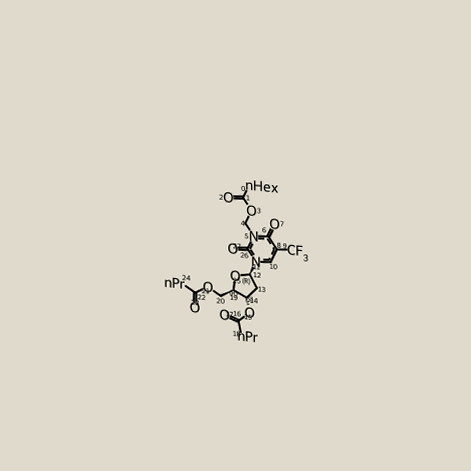 CCCCCCC(=O)OCn1c(=O)c(C(F)(F)F)cn([C@H]2C[C@H](OC(=O)CCC)[C@@H](COC(=O)CCC)O2)c1=O